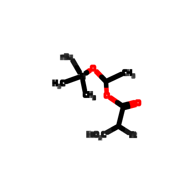 CCCC[Si](C)(C)OC(C)OC(=O)C(CC)C(=O)OCC